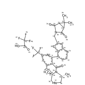 Cc1cc(C(F)(F)F)nc(-c2ccnc3cc(CN4C(=O)C5C(C4=O)C5(C)C)sc23)c1C(=O)N1[C@H](C)CNC[C@H]1C.O=C(O)C(F)(F)F